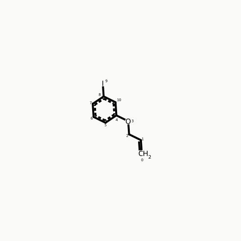 C=CCOc1cccc(I)c1